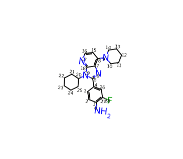 Nc1ccc(-c2nc3c(N4CCCCC4)ccnc3n2C2CCCCC2)cc1F